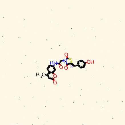 Cc1cc(=O)oc2cc(NC(=O)CN3C(=O)S/C(=C\c4ccc(O)cc4)C3=O)ccc12